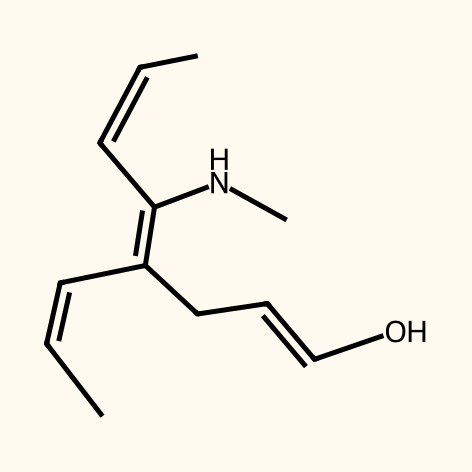 C\C=C/C(CC=CO)=C(\C=C/C)NC